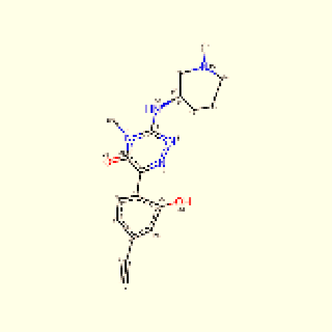 C#Cc1ccc(-c2nnc(N[C@@H]3CCCN(C)C3)n(C)c2=O)c(O)c1